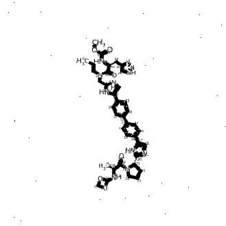 CCCN(CC1NC=C(c2ccc(-c3ccc(-c4cnc([C@@H]5CCCN5C(=O)[C@H](C)NC5OCO5)[nH]4)cc3)cc2)N1)C(=O)[C@H](Cc1c[nH]nn1)NC(=O)OC